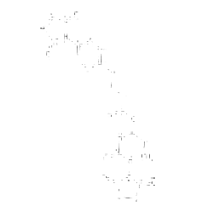 CCC(OC(=O)CCCc1ccc(N2C(=O)C=CC2=O)cc1)OC(=O)ON1C(=O)CCC1=O